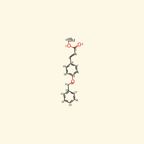 CC(C)(C)OC(=O)C=Cc1ccc(OCc2ccccc2)cc1